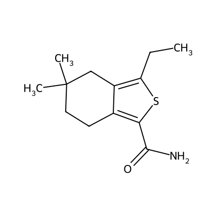 CCc1sc(C(N)=O)c2c1CC(C)(C)CC2